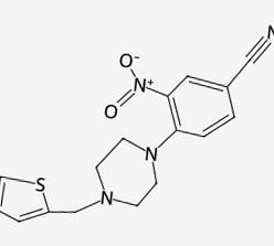 N#Cc1ccc(N2CCN(Cc3cccs3)CC2)c([N+](=O)[O-])c1